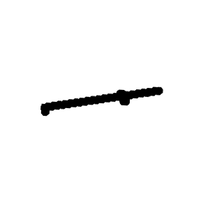 CCCCC=CCCCCCCCC(=O)OCCCCCCCCCCCCCCCCCCCCCCCCCCC(C)CC